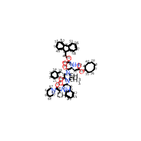 C[C@H](NC(=O)[C@H](Cc1ccccc1)N(C)C(=O)[C@H](Cc1ccccc1)N(C)C(=O)[C@H](CC(=O)OC1CCCCCCC1)NC(=O)OCC1c2ccccc2-c2ccccc21)C(=O)N1CCCCC1